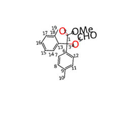 COC(=O)C(O[C]=O)(c1ccc(C)cc1)c1ccccc1C